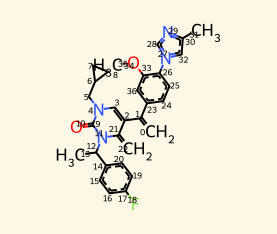 C=C(C1=CN(CC2CC2)C(=O)N(C(C)c2ccc(F)cc2)C1=C)c1ccc(-n2cnc(C)c2)c(OC)c1